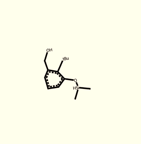 C[SiH](C)Oc1cccc(CO)c1C(C)(C)C